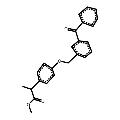 COC(=O)C(C)c1ccc(OCc2cccc(C(=O)c3ccccc3)c2)cc1